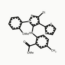 CCc1nn(-c2ccccc2OC)c(Nc2ccc(C)cc2C(=O)OC)c1-c1nccs1